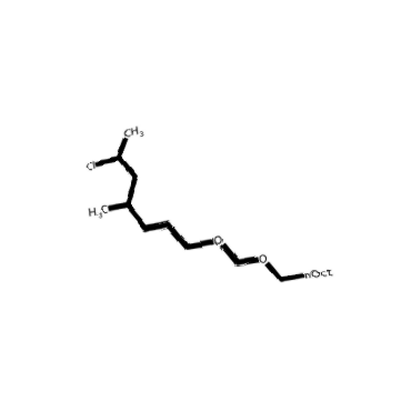 CCCCCCCCCOCOCCCC(C)CC(C)Cl